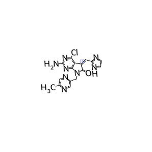 Cc1cnc(CN2C(=O)/C(=C\c3ncc[nH]3)c3c(Cl)nc(N)nc32)cn1